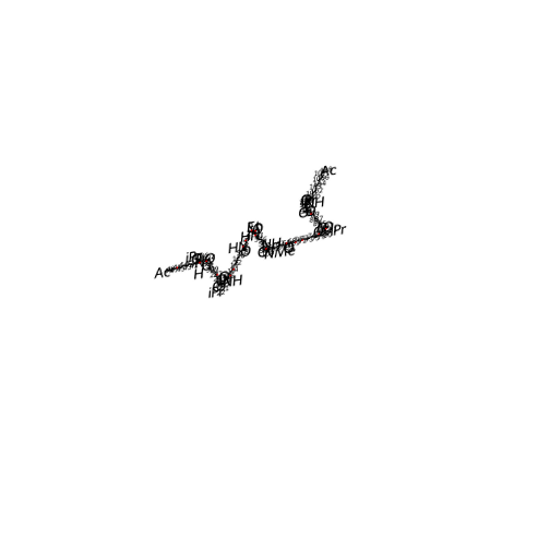 CCC(CCCCNC(=O)CCCCCCCCC(=O)NC(CC(C)C)C(=O)OCCCCCCOC(=O)C(CC(C)C)NC(=O)CCCCCCCCC(C)=O)C(=O)NCCCCNC(=O)C(CCCCCC(=O)CCCCCCCCC(=O)CC(CC(C)C)C(=O)OCCCCCCOC(=O)C(CC(C)C)NC(=O)CCCCCCCCC(C)=O)NC